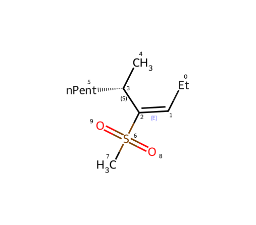 CC/C=C(\[C@@H](C)CCCCC)S(C)(=O)=O